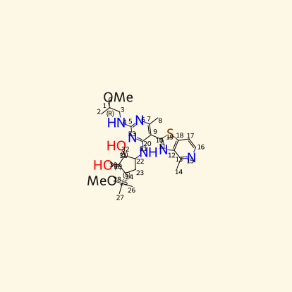 CO[C@H](C)CNc1nc(C)c(-c2nc3c(C)nccc3s2)c(NC2C[C@H](C(C)(C)OC)[C@@H](O)[C@H]2O)n1